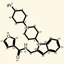 CC(C)C1CCC(N2CCC(n3c(CNC(=O)c4ccoc4)cc4ccccc43)CC2)CC1